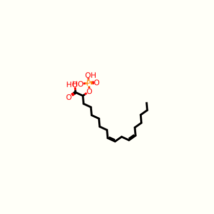 CCCCC/C=C\C/C=C\CCCCCCC(OP(=O)(O)O)C(=O)O